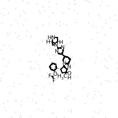 CC1(O)C[C@H](c2ccccc2OC(F)F)c2c1nc1ccc(-c3cnc(N4C[C@@H]5C[C@H]4CN5)nc3)cn21